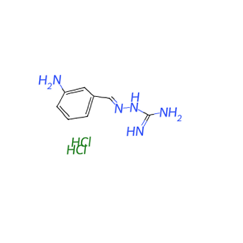 Cl.Cl.N=C(N)N/N=C/c1cccc(N)c1